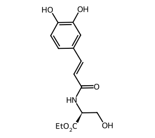 CCOC(=O)[C@H](CO)NC(=O)C=Cc1ccc(O)c(O)c1